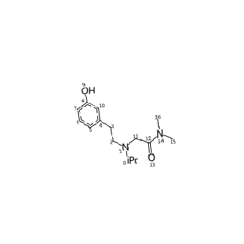 CC(C)N(CCc1cccc(O)c1)CC(=O)N(C)C